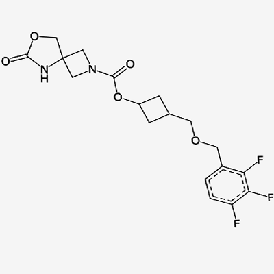 O=C1NC2(CO1)CN(C(=O)OC1CC(COCc3ccc(F)c(F)c3F)C1)C2